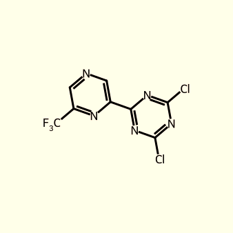 FC(F)(F)c1cncc(-c2nc(Cl)nc(Cl)n2)n1